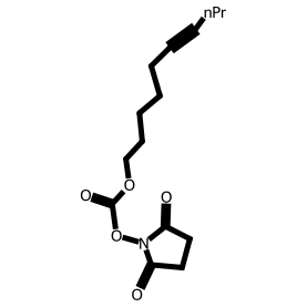 CCCC#CCCCCCOC(=O)ON1C(=O)CCC1=O